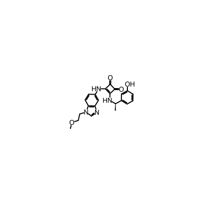 COCCn1cnc2cc(Nc3c(N[C@H](C)c4cccc(O)c4)c(=O)c3=O)ccc21